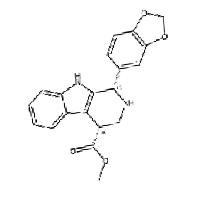 COC(=O)[C@H]1CN[C@@H](c2ccc3c(c2)OCO3)c2[nH]c3ccccc3c21